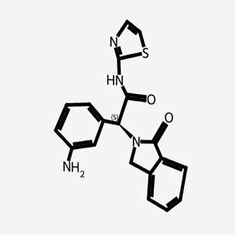 Nc1cccc([C@@H](C(=O)Nc2nccs2)N2Cc3ccccc3C2=O)c1